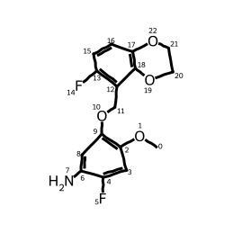 COc1cc(F)c(N)cc1OCc1c(F)ccc2c1OCCO2